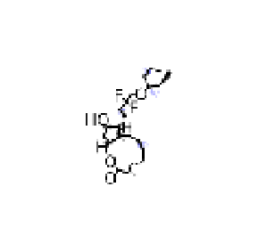 C#C/C=C(\C=C/C)OCC(F)(F)/C=C/[C@@H]1[C@H]2C/C=C\CCCC(=O)OC[C@H]2C[C@H]1O